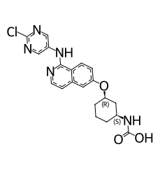 O=C(O)N[C@H]1CCC[C@@H](Oc2ccc3c(Nc4cnc(Cl)nc4)nccc3c2)C1